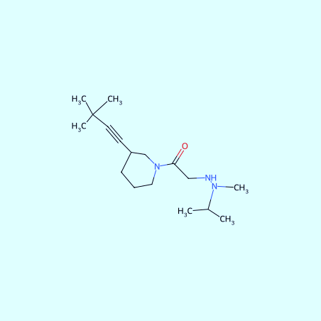 CC(C)N(C)NCC(=O)N1CCCC(C#CC(C)(C)C)C1